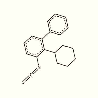 S=C=Nc1cccc(-c2ccccc2)c1C1CCCCC1